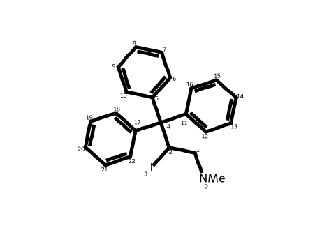 CNCC(I)C(c1ccccc1)(c1ccccc1)c1ccccc1